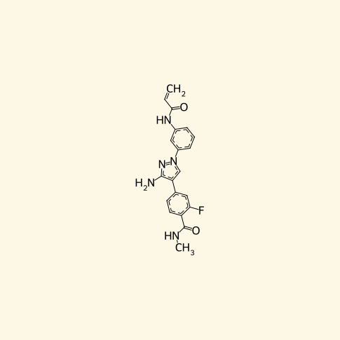 C=CC(=O)Nc1cccc(-n2cc(-c3ccc(C(=O)NC)c(F)c3)c(N)n2)c1